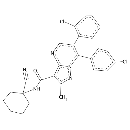 Cc1nn2c(-c3ccc(Cl)cc3)c(-c3ccccc3Cl)cnc2c1C(=O)NC1(C#N)CCCCC1